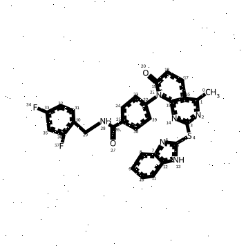 Cc1nc(Sc2nc3ccccc3[nH]2)nc2c1ccc(=O)n2-c1ccc(C(=O)NCc2ccc(F)cc2F)cc1